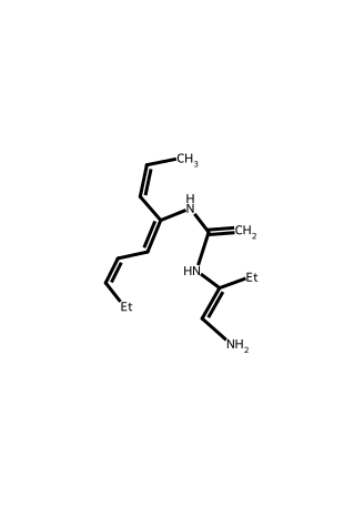 C=C(NC(/C=C\C)=C/C=C\CC)N/C(=C/N)CC